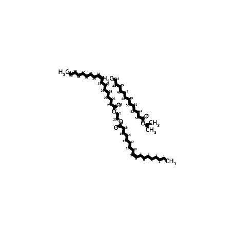 CCCCCCCC/C=C\CCCCCCCC(=O)OCCOC(=O)CCCCCCC/C=C\CCCCCCCC.CCCCCCCCCCCCCC(=O)OC(C)C